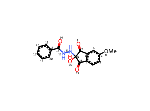 COc1ccc2c(c1)C(=O)C(O)(NNC(=O)c1ccccc1)C2=O